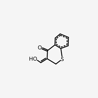 O=C1C(=CO)CSc2ccccc21